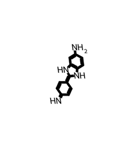 N=C1C=CC(=C2Nc3ccc(N)cc3N2)C=C1